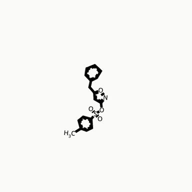 Cc1ccc(S(=O)(=O)Oc2cc(Cc3ccccc3)on2)cc1